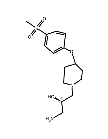 CS(=O)(=O)c1ccc(OC2CCN(C[C@H](O)CN)CC2)cc1